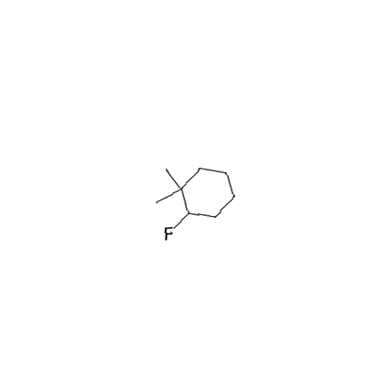 CC1(C)CCCCC1F